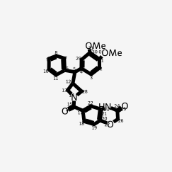 COc1ccc(C(c2ccccc2)C2CN(C(=O)c3ccc4c(c3)NC(=O)CO4)C2)cc1OC